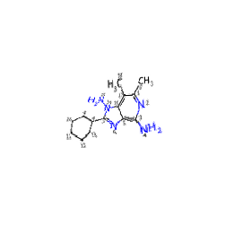 Cc1nc(N)c2nc(C3CCCCC3)n(N)c2c1C